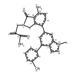 C=C(CN1Cc2c(-c3cc(-c4cccc(C#N)c4)c4cnn(C)c4c3)ccc(N)c2C1=O)C(N)=O